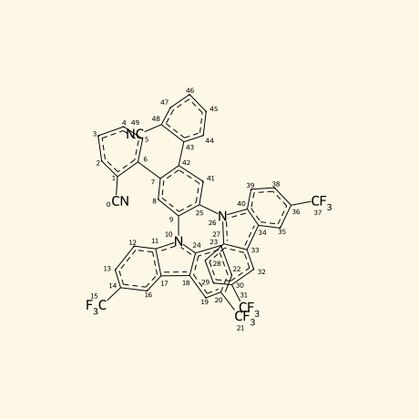 N#Cc1ccccc1-c1cc(-n2c3ccc(C(F)(F)F)cc3c3cc(C(F)(F)F)ccc32)c(-n2c3ccc(C(F)(F)F)cc3c3cc(C(F)(F)F)ccc32)cc1-c1ccccc1C#N